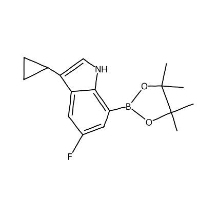 CC1(C)OB(c2cc(F)cc3c(C4CC4)c[nH]c23)OC1(C)C